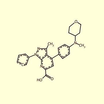 Cc1nn(-c2ccccc2)c2nc(C(=O)O)cc(-c3ccc(N(C)C4CCOCC4)cc3)c12